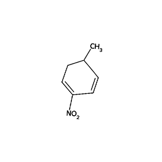 CC1C=CC([N+](=O)[O-])=CC1